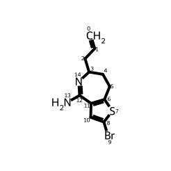 C=CCC1CCc2sc(Br)cc2C(N)=N1